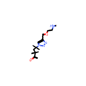 CNCCOCc1cn(C(C)(C)CC(C)(C)C(C)=O)nn1